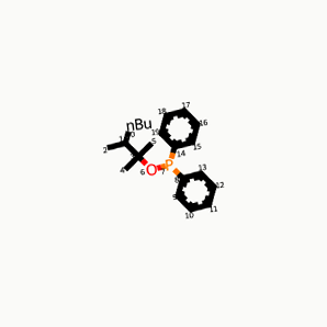 CCCCC(C)C(C)(C)OP(c1ccccc1)c1ccccc1